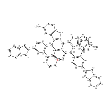 CC(C)(C)c1ccc2sc3c(c2c1)N(c1ccc(-c2cc4ccccc4o2)cc1-c1ccccc1)c1cccc2c1B3c1sc3ccc(C(C)(C)C)cc3c1N2c1ccc(-c2cc3ccccc3o2)cc1-c1ccccc1